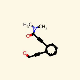 CN(C)C(=O)C#Cc1ccccc1C#CC=O